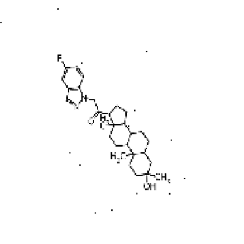 CC12CC[C@@](C)(O)CC1CCC1C2CCC2(C)C(C(=O)Cn3ncc4cc(F)ccc43)CCC12